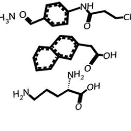 CCCC(=O)Nc1ccc(C=O)cc1.N.NCCC[C@H](N)C(=O)O.O=C(O)Cc1ccc2ccccc2c1